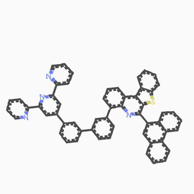 c1ccc(-c2cc(-c3cccc(-c4cccc(-c5cccc6c5nc(-c5cc7ccccc7c7ccccc57)c5sc7ccccc7c56)c4)c3)cc(-c3ccccn3)n2)nc1